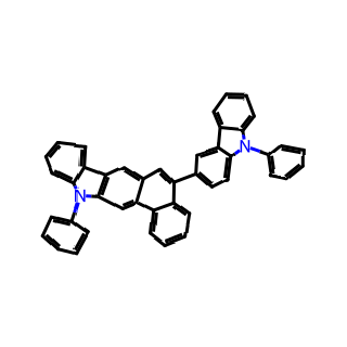 c1ccc(-n2c3ccccc3c3cc(-c4cc5cc6c7ccccc7n(-c7ccccc7)c6cc5c5ccccc45)ccc32)cc1